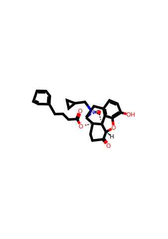 O=C(CCCc1ccccc1)O[C@@]12CCC(=O)[C@@H]3Oc4c(O)ccc5c4[C@@]31CCN(CC1CC1)C2C5